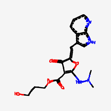 CN(C)NC1=C(C(=O)OCCCO)C(=O)/C(=C/c2c[nH]c3ncccc23)O1